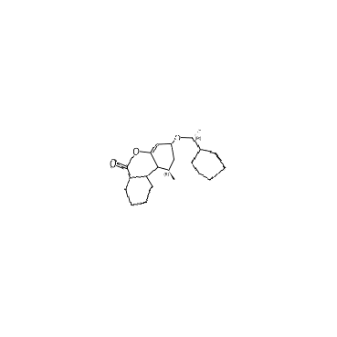 C[C@@H]1CC(O[C@H](C)C2CCCCC2)C=C2OC(=O)C3CCCCC3C21